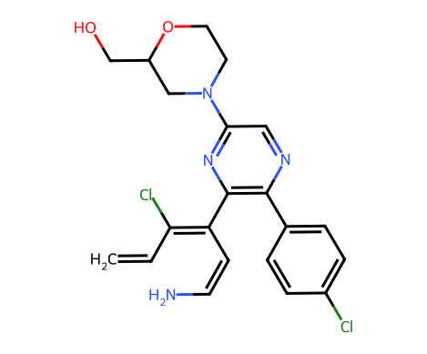 C=C/C(Cl)=C(\C=C/N)c1nc(N2CCOC(CO)C2)cnc1-c1ccc(Cl)cc1